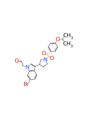 CC(C)Oc1ccc(S(=O)(=O)N2CCC(c3cn(CC=O)c4cc(Br)ccc34)C2)cc1